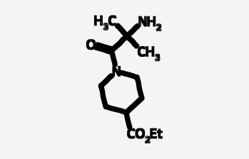 CCOC(=O)C1CCN(C(=O)C(C)(C)N)CC1